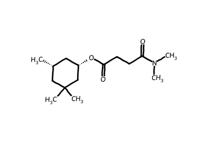 C[C@@H]1C[C@H](OC(=O)CCC(=O)N(C)C)CC(C)(C)C1